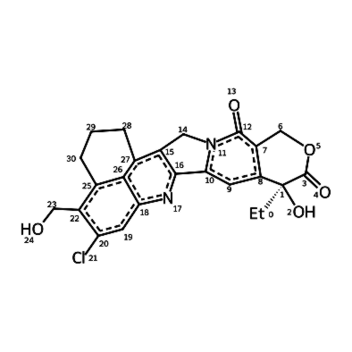 CC[C@@]1(O)C(=O)OCc2c1cc1n(c2=O)Cc2c-1nc1cc(Cl)c(CO)c3c1c2CCC3